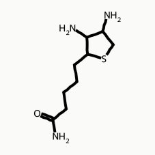 NC(=O)CCCCC1SCC(N)C1N